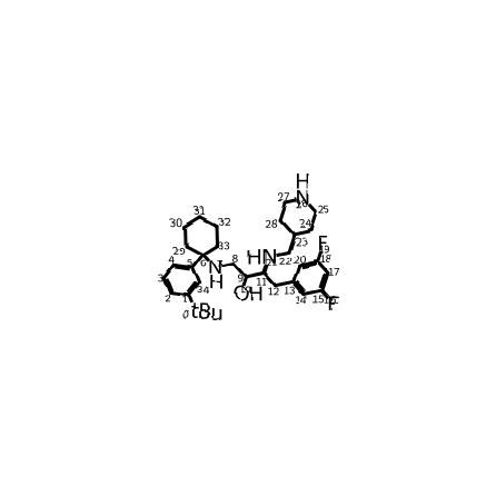 CC(C)(C)c1cccc(C2(NCC(O)C(Cc3cc(F)cc(F)c3)NCC3CCNCC3)CCCCC2)c1